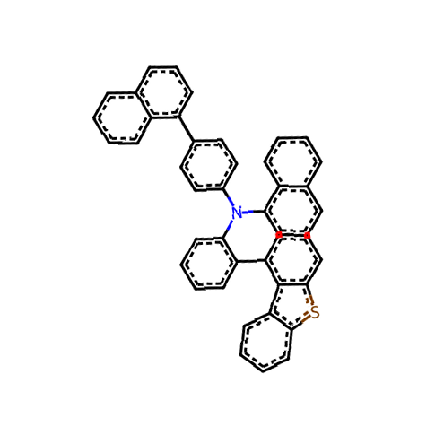 c1ccc(N(c2ccc(-c3cccc4ccccc34)cc2)c2cccc3ccccc23)c(-c2cccc3sc4ccccc4c23)c1